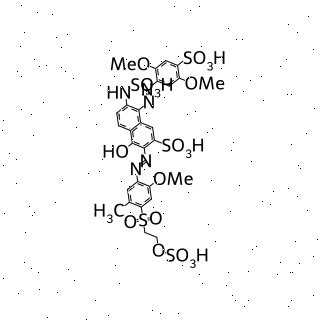 COc1cc(S(=O)(=O)CCOS(=O)(=O)O)c(C)cc1/N=N/c1c(S(=O)(=O)O)cc2c(/N=N/c3cc(OC)c(S(=O)(=O)O)cc3OC)c(NS(=O)(=O)O)ccc2c1O